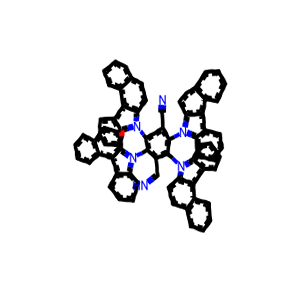 N#Cc1c(-n2c3ccccc3c3c4ccccc4ccc32)c(-n2c3ccccc3c3c4ccccc4ccc32)c(C=N)c(-n2c3ccccc3c3c4ccccc4ccc32)c1-n1c2ccccc2c2c3ccccc3ccc21